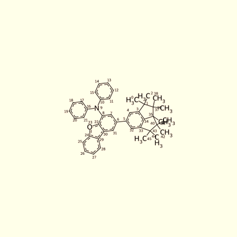 CC1(C)c2cc(-c3cc(N(c4ccccc4)c4ccccc4)c4oc5ccccc5c4c3)cc3c2C(C)(C1(C)C)C(C)(C)C3(C)C